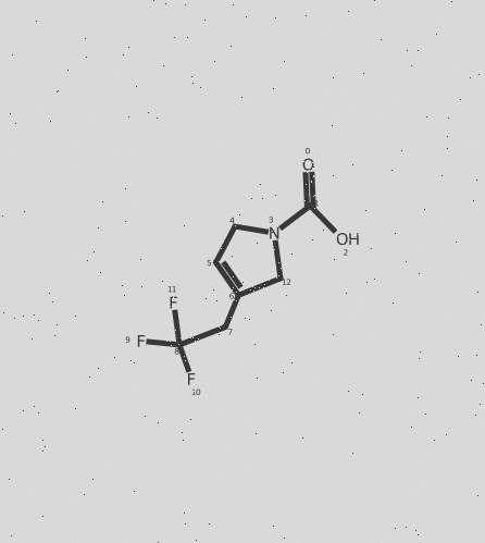 O=C(O)N1CC=C(CC(F)(F)F)C1